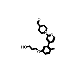 Cc1ccc(OCCCO)cc1-c1ccnc(N2CCC(C=O)CC2)c1